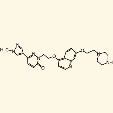 Cn1cc(-c2ccc(=O)n(CCOc3ccnc4cc(OCCN5CCNCC5)ccc34)n2)cn1